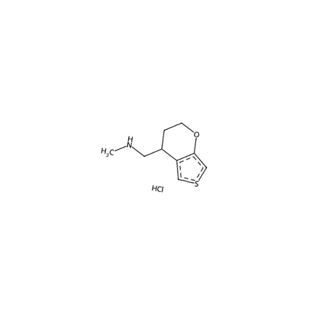 CNCC1CCOc2cscc21.Cl